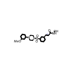 COc1cccc(N2CCN(S(=O)(=O)c3cccc(/C=C/C(=O)NO)c3)CC2)c1